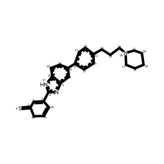 S=C1C=C(c2nc3cc(-c4ccc(CCCN5CCCCC5)cc4)ccc3[nH]2)C=CC1